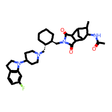 CC(=O)NC1C(C)C2CC1C1C(=O)N(C[C@@H]3CCCC[C@H]3CN3CCC(N4CCc5ccc(F)cc54)CC3)C(=O)C21